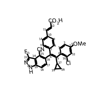 COc1ccc(C(=C(c2ccc(C=CC(=O)O)cc2)c2ccc3[nH]nc(F)c3c2C#N)C2CC2)c(Cl)c1